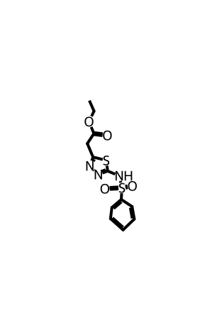 CCOC(=O)Cc1nnc(NS(=O)(=O)c2ccccc2)s1